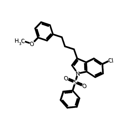 COc1cccc(CCCc2cn(S(=O)(=O)c3ccccc3)c3ccc(Cl)cc23)c1